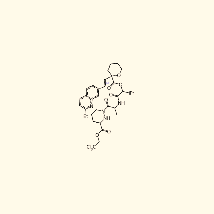 CCc1ccc2ccc(/C=C/C3(C(=O)OC(C(=O)NC(C)C(=O)N4CCCC(C(=O)OCC(Cl)(Cl)Cl)N4)C(C)C)CCCCO3)cc2n1